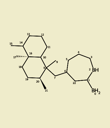 BC1BCCCC(CC2(C)C3CCCC(C)[C@]3(C)CC[C@@H]2C)C1